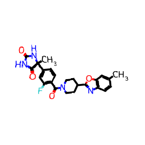 Cc1ccc2nc(C3CCN(C(=O)c4ccc(C5(C)NC(=O)NC5=O)cc4F)CC3)oc2c1